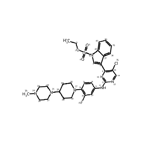 CCOS(=O)(=O)n1cc(-c2nc(Nc3ccc(N4CCC(N5CCN(C)CC5)CC4)c(F)c3)ncc2Cl)c2ccccc21